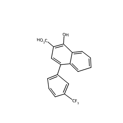 O=C(O)c1cc(-c2cccc(C(F)(F)F)c2)c2ccccc2c1O